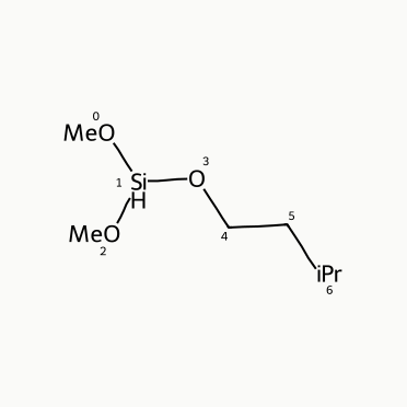 CO[SiH](OC)OCCC(C)C